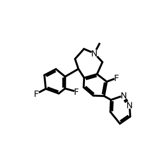 CN1CCC(c2ccc(F)cc2F)c2ccc(-c3cccnn3)c(F)c2C1